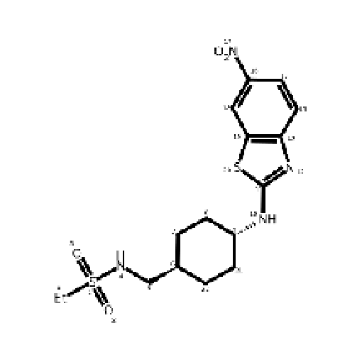 CCS(=O)(=O)NC[C@H]1CC[C@H](Nc2nc3ccc([N+](=O)[O-])cc3s2)CC1